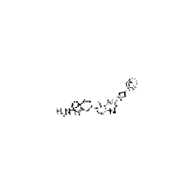 Nc1nc2cc(-c3ccc4ncc(N5CC(N6CC7CCC(C6)O7)C5)nc4n3)ccc2o1